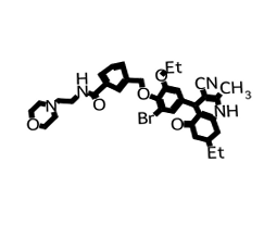 CCOc1cc(C2C(C#N)=C(C)NC3=C2C(=O)CC(CC)C3)cc(Br)c1OCc1cccc(C(=O)NCCN2CCOCC2)c1